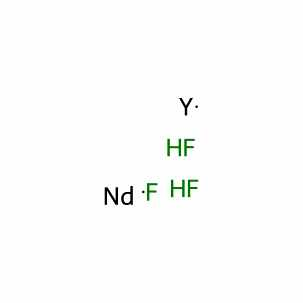 F.F.[F].[Nd].[Y]